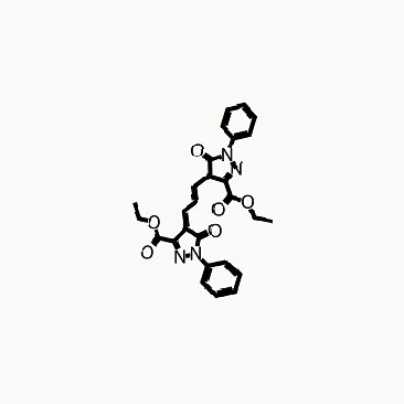 CCOC(=O)C1=NN(c2ccccc2)C(=O)C1=CC=CC1C(=O)N(c2ccccc2)N=C1C(=O)OCC